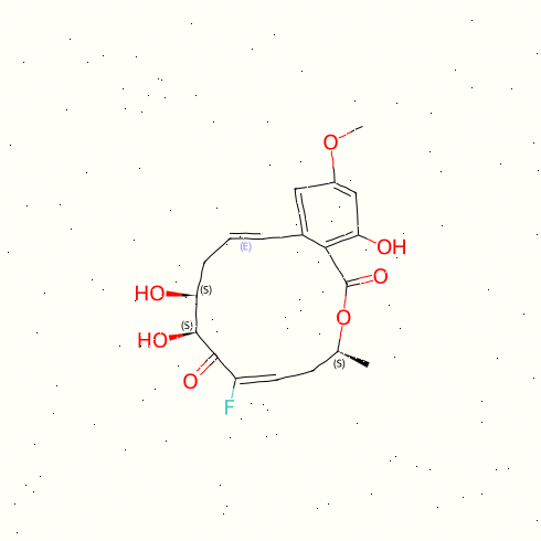 COc1cc(O)c2c(c1)/C=C/C[C@H](O)[C@H](O)C(=O)C(F)=CC[C@H](C)OC2=O